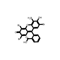 Bc1c(O)c(Br)cc2c(-c3ccccc3C(=O)O)c3cc(Br)c(=O)c(Br)c-3oc12